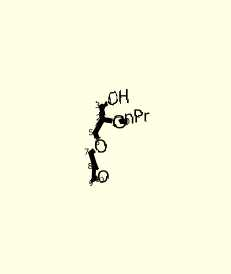 CCCOC(CO)COCC1CO1